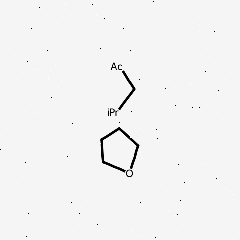 C1CCOC1.CC(=O)CC(C)C